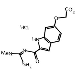 CNC(N)=NC(=O)c1cc2ccc(OCC(=O)O)cc2[nH]1.Cl